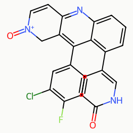 O=c1ccc(-c2cccc3nc4c(c(-c5ccc(F)c(Cl)c5)c23)C[N+](=O)C=C4)c[nH]1